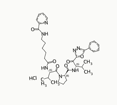 CC(C)[C@H](NC(=O)[C@H]1CCCN1C(=O)[C@@H](NC(=O)CCCCCNC(=O)c1ccccn1)C(C)C)C(=O)c1nnc(-c2ccccc2)o1.Cl